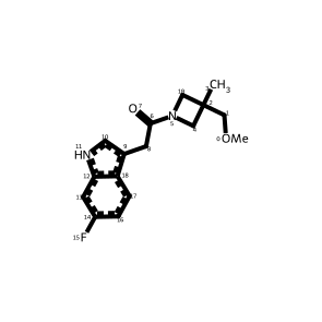 COCC1(C)CN(C(=O)Cc2c[nH]c3cc(F)ccc23)C1